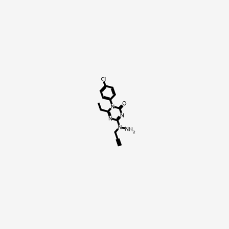 C#CCN(N)c1nc(CC)n(-c2ccc(Cl)cc2)c(=O)n1